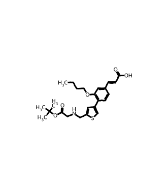 CCCCOc1cc(C=CC(=O)O)ccc1-c1csc(CNCC(=O)OC(C)(C)C)c1